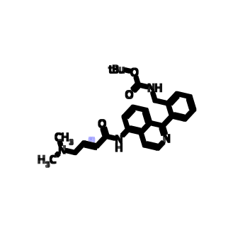 CN(C)C/C=C/C(=O)Nc1cccc2c(-c3ccccc3CNC(=O)OC(C)(C)C)nccc12